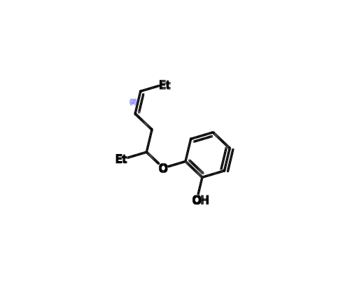 CC/C=C\CC(CC)Oc1ccc#cc1O